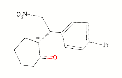 CC(C)c1ccc(C(C[N+](=O)[O-])[C@H]2CCCCC2=O)cc1